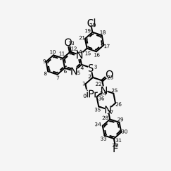 CC(C)CC(Sc1nc2ccccc2c(=O)n1-c1cccc(Cl)c1)C(=O)N1CCN(c2ccc(F)cc2)CC1